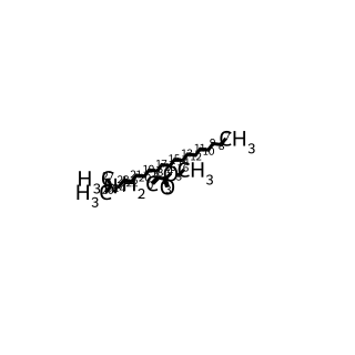 C=CC(=O)OCC.CCCCCCCCCCCCCCCCCCN(C)C